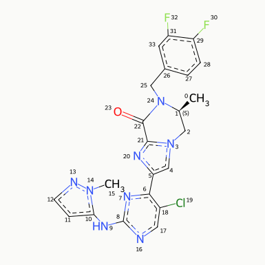 C[C@H]1Cn2cc(-c3nc(Nc4ccnn4C)ncc3Cl)nc2C(=O)N1Cc1ccc(F)c(F)c1